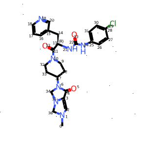 CN1C=C2C(=O)N(C3CCN(C(=O)[C@@H](Cc4cccnc4)NC(=O)Nc4ccc(Cl)cc4)CC3)CN2C1